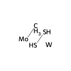 SS.[CH3][Mo].[W]